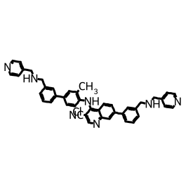 Cc1cc(-c2cccc(CNCc3ccncc3)c2)cc(Cl)c1Nc1c(C#N)cnc2cc(-c3cccc(CNCc4ccncc4)c3)ccc12